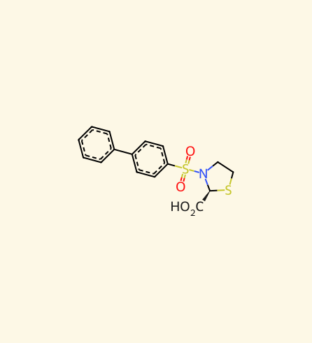 O=C(O)[C@@H]1SCCN1S(=O)(=O)c1ccc(-c2ccccc2)cc1